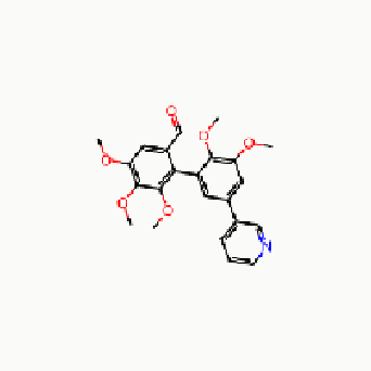 COc1cc(-c2cccnc2)cc(-c2c(C=O)cc(OC)c(OC)c2OC)c1OC